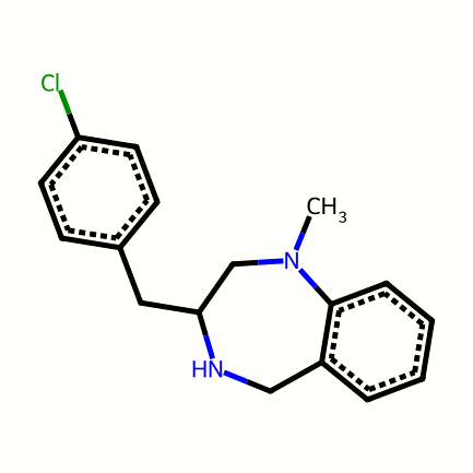 CN1CC(Cc2ccc(Cl)cc2)NCc2ccccc21